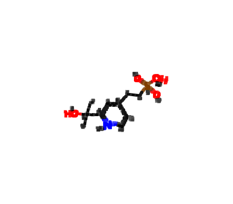 CC(C)(O)c1cc(CCS(=O)(=O)O)ccn1